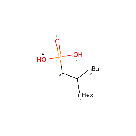 CCCCCCC(CCCC)CP(=O)(O)O